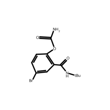 CC(C)(C)NC(=O)c1cc(Br)ccc1OC(N)=O